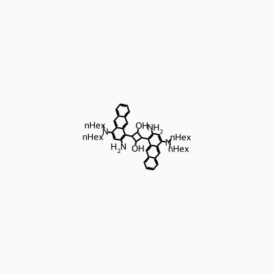 CCCCCCN(CCCCCC)c1cc(N)c(C2C(O)C(c3c(N)cc(N(CCCCCC)CCCCCC)c4cc5ccccc5cc34)C2O)c2cc3ccccc3cc12